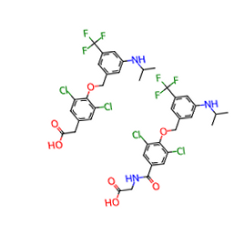 CC(C)Nc1cc(COc2c(Cl)cc(C(=O)NCC(=O)O)cc2Cl)cc(C(F)(F)F)c1.CC(C)Nc1cc(COc2c(Cl)cc(CC(=O)O)cc2Cl)cc(C(F)(F)F)c1